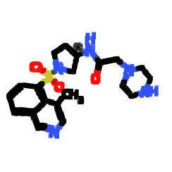 Cc1cncc2cccc(S(=O)(=O)N3CC[C@@H](NC(=O)CN4CCNCC4)C3)c12